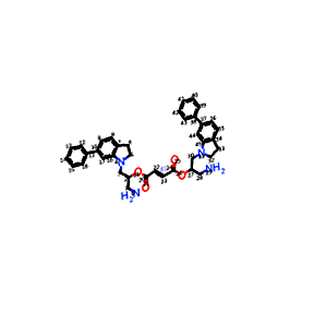 NCC(CN1CCc2ccc(-c3ccccc3)cc21)OC(=O)/C=C/C(=O)OC(CN)CN1CCc2ccc(-c3ccccc3)cc21